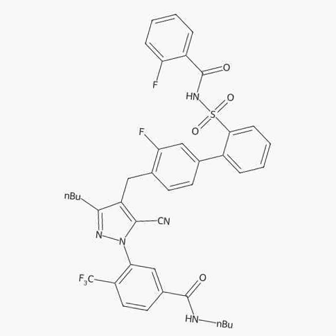 CCCCNC(=O)c1ccc(C(F)(F)F)c(-n2nc(CCCC)c(Cc3ccc(-c4ccccc4S(=O)(=O)NC(=O)c4ccccc4F)cc3F)c2C#N)c1